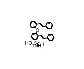 C(=Cc1ccccc1Oc1ccccc1C=Cc1ccccc1)c1ccccc1.N.O=S(=O)(O)O